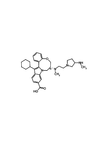 CNC1CCN(CCN(C)[C@H]2COc3ccccc3-c3c(C4CCCCC4)c4ccc(C(=O)O)cc4n3C2)C1